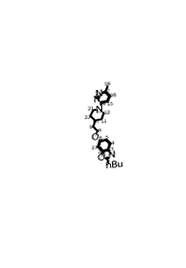 CCCCc1nc2ccc(OCCC3CCN(c4ccc(C)nn4)CC3)cc2o1